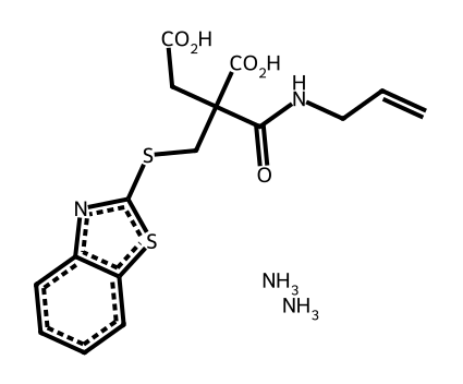 C=CCNC(=O)C(CSc1nc2ccccc2s1)(CC(=O)O)C(=O)O.N.N